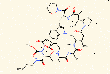 CCC(C)C(C(CC(=O)N1CCC[C@H]1C(OC)C(C)C(=O)NC(Cc1c[nH]c2ccccc12)C(=O)N1CCCCO1)OC)N(C)C(=O)C(NC(=O)C(C(C)C)N(C)CCCC(=O)OC(C)C(C(=O)NCCC(=O)O)N(C(=O)OC(C)(C)C)N1C(=O)CCC1=O)C(C)C